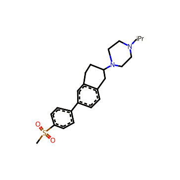 CC(C)N1CCN(C2CCc3cc(-c4ccc(S(C)(=O)=O)cc4)ccc3C2)CC1